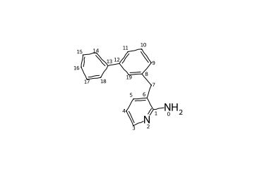 Nc1ncccc1Cc1cccc(-c2ccccc2)c1